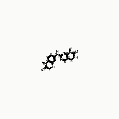 CN1C(=O)CSc2cc(Nc3ncc4c(n3)N(C)C(=O)NC4)ccc21